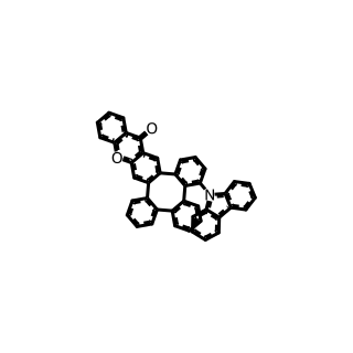 O=c1c2ccccc2oc2cc3c(cc12)-c1cccc(-n2c4ccccc4c4ccccc42)c1-c1ccccc1-c1ccccc1-3